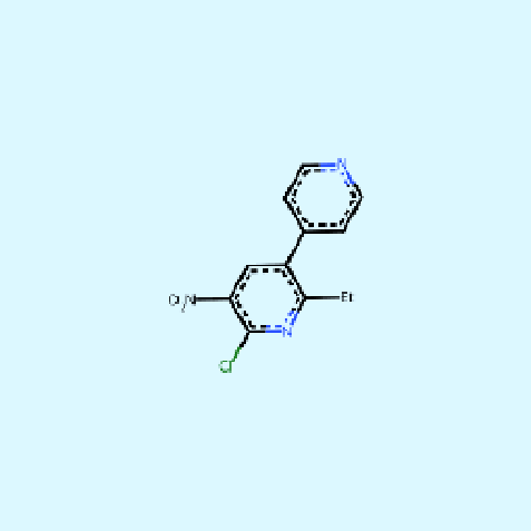 CCc1nc(Cl)c([N+](=O)[O-])cc1-c1ccncc1